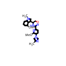 COc1nc(C2=NOCC(c3cn(C)c4cccc(OC)c34)N2)ccc1-n1cnc(C)c1